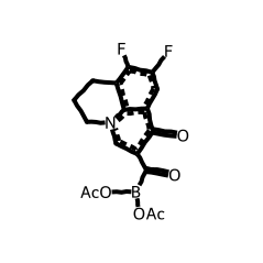 CC(=O)OB(OC(C)=O)C(=O)c1cn2c3c(c(F)c(F)cc3c1=O)CCC2